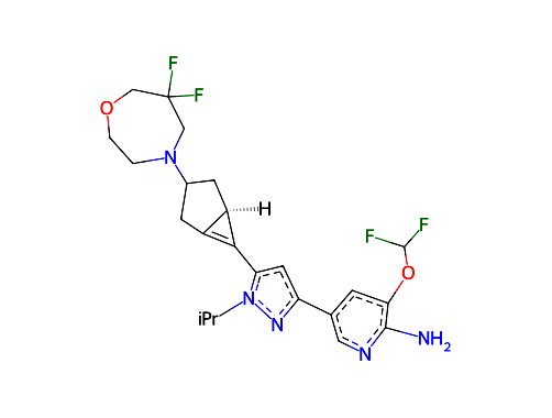 CC(C)n1nc(-c2cnc(N)c(OC(F)F)c2)cc1C1=C2CC(N3CCOCC(F)(F)C3)C[C@H]21